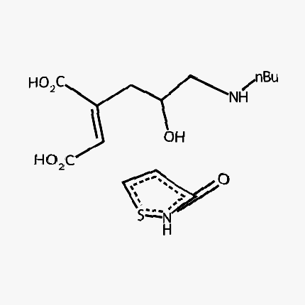 CCCCNCC(O)C/C(=C/C(=O)O)C(=O)O.O=c1ccs[nH]1